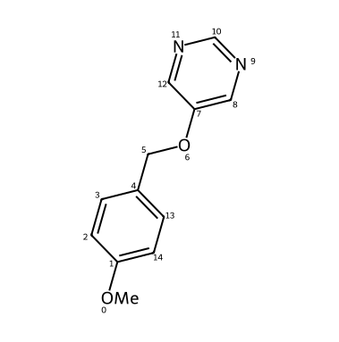 COc1ccc(COc2cncnc2)cc1